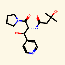 CC(C)(O)CC(=O)N[C@@H](C(=O)N1CCCC1)[C@H](O)c1ccncc1